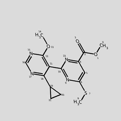 COC(=O)c1cc(SC)nc(-c2c(OC)ncnc2C2CC2)n1